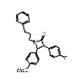 COc1ccc(C2C(c3ccc(F)cc3)C(=O)N2CCCc2ccccc2)cc1